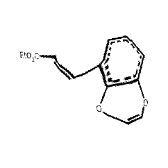 CCOC(=O)C=Cc1cccc2c1OC=CO2